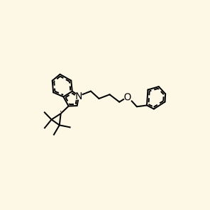 CC1(C)[C](c2cn(CCCCOCc3ccccc3)c3ccccc23)C1(C)C